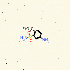 CCOC(=O)c1ccc(N)cc1S(N)(=O)=O